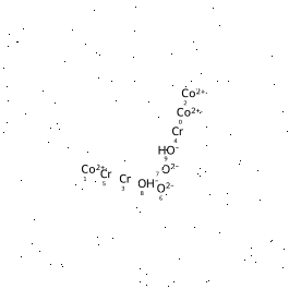 [Co+2].[Co+2].[Co+2].[Cr].[Cr].[Cr].[O-2].[O-2].[OH-].[OH-]